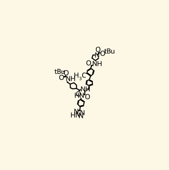 Cc1cc(C(=O)N[C@@H]2CCN(C(=O)OC(C)(C)C)C2)ccc1-c1ccc(C[C@H](NC(=O)C2CCC(CNC(=O)OC(C)(C)C)CC2)C(=O)Nc2ccc(-c3nn[nH]n3)cc2)cc1